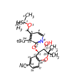 C[SiH](C)OCc1ccnc(O[C@@H]2c3cc(C#N)ccc3OC(C)(C)[C@H]2O)c1C(C)(C)C